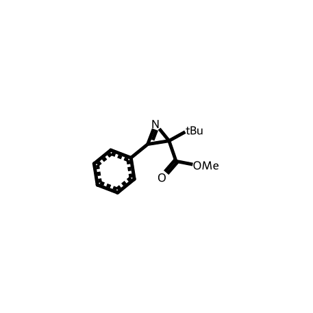 COC(=O)C1(C(C)(C)C)N=C1c1ccccc1